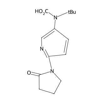 CC(C)(C)N(C(=O)O)c1ccc(N2CCCC2=O)nc1